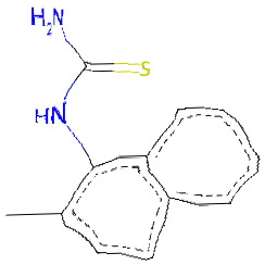 Cc1ccc2ccccc2c1NC(N)=S